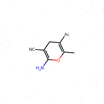 CC(=O)C1=C(C)OC(N)=C(C#N)C1